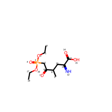 CCOP(=O)(CC(=O)C(C)CC(=N)C(=O)O)OCC